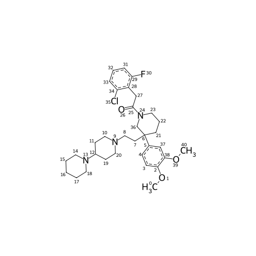 COc1ccc(C2(CCN3CCC(N4CCCCC4)CC3)CCCN(C(=O)Cc3c(F)cccc3Cl)C2)cc1OC